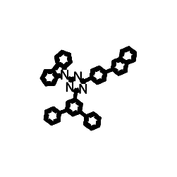 c1ccc(-c2cc(-c3ccccc3)cc(-c3nc(-c4ccc(-c5ccc6ccccc6c5)cc4)nc(-n4c5ccccc5c5ccccc54)n3)c2)cc1